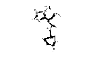 C=C(C(=O)Oc1ccc(F)cc1)c1nnnn1C